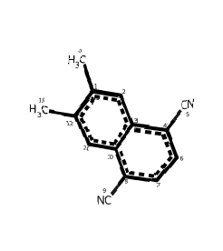 Cc1cc2c(C#N)ccc(C#N)c2cc1C